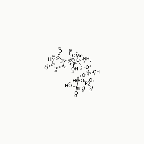 CO[C@](N)(COP(=O)(O)OP(=O)(O)OP(=O)(O)O)[C@@H](O)[C@@H](F)n1ccc(=O)[nH]c1=O